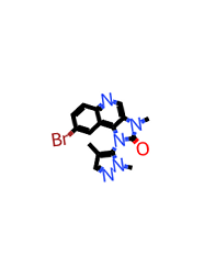 Cc1cnn(C)c1-n1c(=O)n(C)c2cnc3ccc(Br)cc3c21